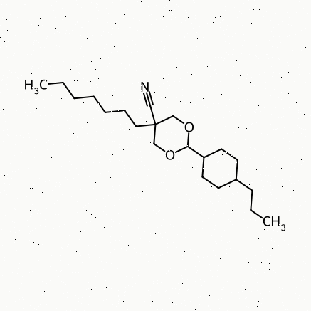 CCCCCCCC1(C#N)COC(C2CCC(CCC)CC2)OC1